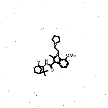 COc1cccc2c(C(=O)N[C@@H]3C(C)(C)C4CC[C@@]3(C)C4)c(C)n(CCN3CCCC3)c12